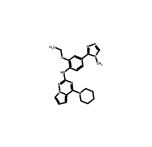 CCOc1cc(-c2nncn2C)ccc1Nc1nc(N2CCCCC2)c2cccn2n1